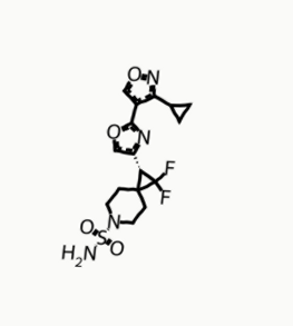 NS(=O)(=O)N1CCC2(CC1)[C@H](c1coc(-c3conc3C3CC3)n1)C2(F)F